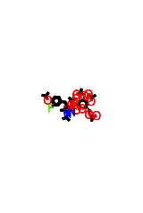 CC(=O)OC[C@H]1O[C@@](O)(Oc2nn(C(C)C)c(C)c2Cc2ccc(OC(C)C)c(F)c2)[C@H](OC(C)=O)[C@@H](OC(C)=O)[C@@H]1OC(C)=O